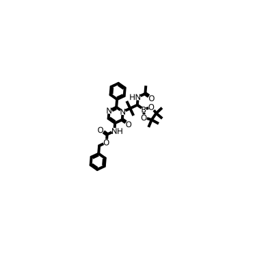 CC(=O)NC(B1OC(C)(C)C(C)(C)O1)C(C)(C)n1c(-c2ccccc2)ncc(NC(=O)OCc2ccccc2)c1=O